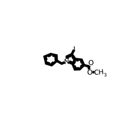 COC(=O)c1ccc2c(c1)c(I)cn2Cc1ccccc1